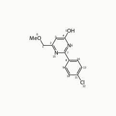 COCc1cc(O)nc(-c2ccc(Cl)cc2)n1